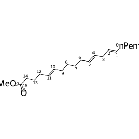 CCCCCC=CCC=CCCCCC=CCCCC(=O)OC